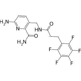 NC(=O)c1nc(N)ccc1CNC(=O)[CH]Cc1c(F)c(F)c(F)c(F)c1F